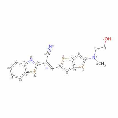 CN(CCO)c1cc2sc(/C=C(\C#N)c3nc4ccccc4s3)cc2s1